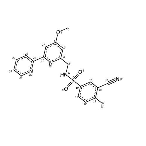 COc1cc(CNS(=O)(=O)c2ccc(F)c(C#N)c2)nc(-c2ccccn2)c1